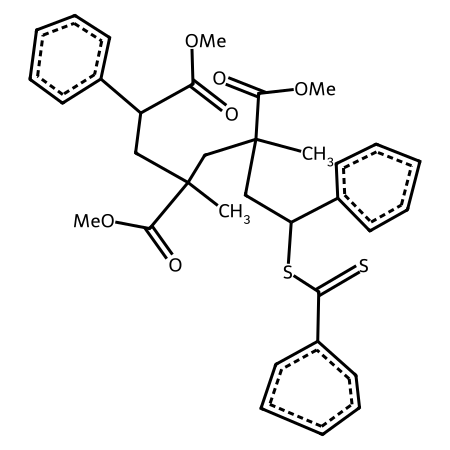 COC(=O)C(CC(C)(CC(C)(CC(SC(=S)c1ccccc1)c1ccccc1)C(=O)OC)C(=O)OC)c1ccccc1